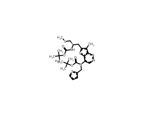 CSC[C@@H](Cc1sc2c(N(Cc3cccs3)C(=O)OC(C)(C)C)cnnc2c1C)NC(=O)OC(C)(C)C